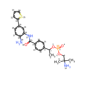 CC(O[PH](=O)OCC(C)(C)N)c1ccc(C(=O)Nc2cc(-c3cccs3)ccc2N)cc1